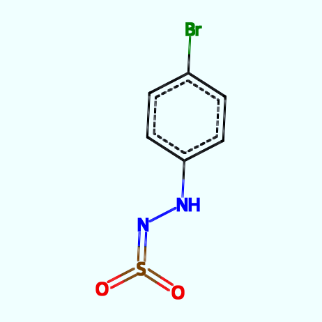 O=S(=O)=NNc1ccc(Br)cc1